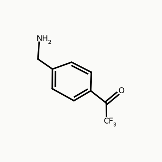 NCc1ccc(C(=O)C(F)(F)F)cc1